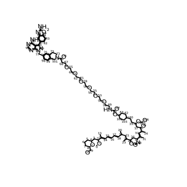 COC(CC1CCCC(C=O)O1)/C(C)=C/C=C/C=C/C(C)CC(C)C(=O)CC(N=O)/C(C)=C/C(C)C(=O)CC(CCC1CCC(OC(=O)NCCOCCOCCOCCOCCOCCOCCC(=O)N2CCc3cc(Cn4nc(-c5ccc6oc(N)nc6c5)c5c(N)ncnc54)ccc3C2)CC1)OC=O